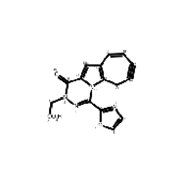 O=C(O)Cn1nc(-c2ncco2)n2c3c(cc2c1=O)C=CC#CC3